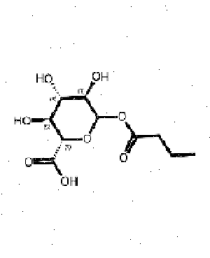 CCCC(=O)OC1O[C@H](C(=O)O)[C@@H](O)[C@H](O)[C@H]1O